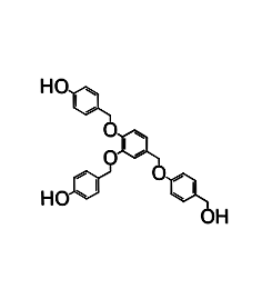 OCc1ccc(OCc2ccc(OCc3ccc(O)cc3)c(OCc3ccc(O)cc3)c2)cc1